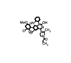 C=CC(=O)N1CCN(C2=NC(O)N(c3ccccc3CCC)c3cc(-c4cc(OC)cc(Cl)c4Cl)c(Cl)cc32)[C@@H](C)C1